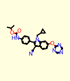 CC(C)OC(=O)Nc1ccc(-c2c(C#N)c3ccc(Oc4ncncn4)cc3n2CC2CC2)cc1